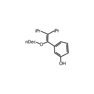 CCCCCCCCCCOC(=C(C(C)C)C(C)C)c1cccc(O)c1